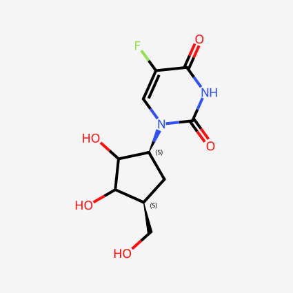 O=c1[nH]c(=O)n([C@H]2C[C@@H](CO)C(O)C2O)cc1F